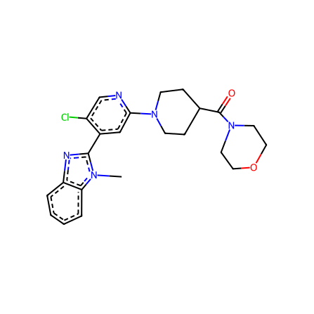 Cn1c(-c2cc(N3CCC(C(=O)N4CCOCC4)CC3)ncc2Cl)nc2ccccc21